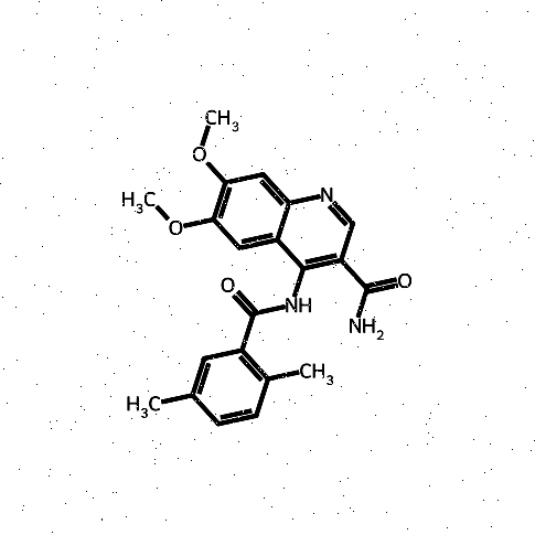 COc1cc2ncc(C(N)=O)c(NC(=O)c3cc(C)ccc3C)c2cc1OC